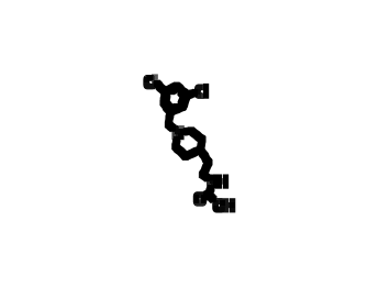 O=C(O)NCCC1CCN(Cc2cc(Cl)cc(Cl)c2)CC1